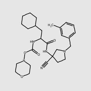 Cc1cccc(CN2CCC(C#N)(NC(=O)C(CC3CCCCC3)NC(=O)ON3CCOCC3)C2)c1